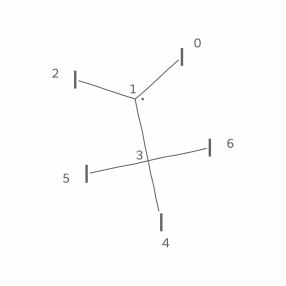 I[C](I)C(I)(I)I